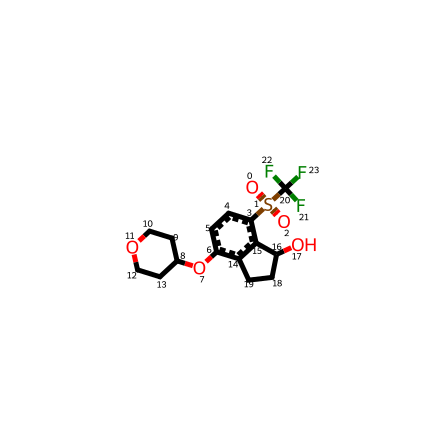 O=S(=O)(c1ccc(OC2CCOCC2)c2c1C(O)CC2)C(F)(F)F